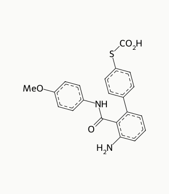 COc1ccc(NC(=O)c2c(N)cccc2-c2ccc(SC(=O)O)cc2)cc1